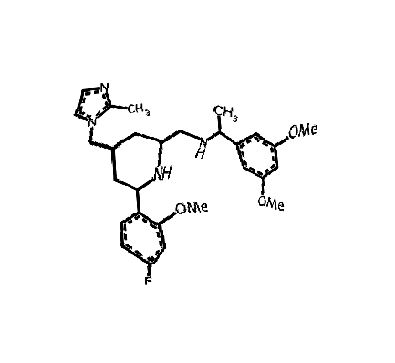 COc1cc(OC)cc(C(C)NCC2CC(Cn3ccnc3C)CC(c3ccc(F)cc3OC)N2)c1